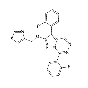 Fc1ccccc1-c1c(OCc2cscn2)nn2c(-c3ccccc3F)nncc12